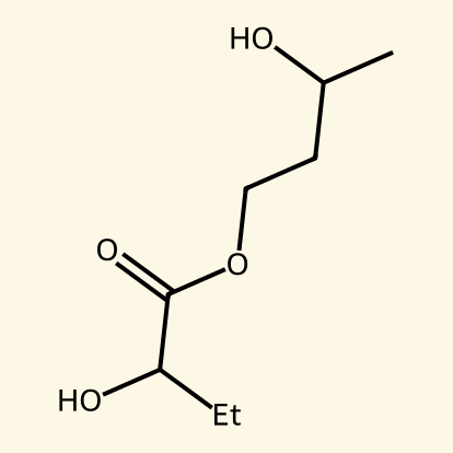 CCC(O)C(=O)OCCC(C)O